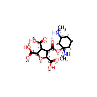 CNC1CCCC(NC)(OC(=O)C2C(C(=O)O)OC(C(=O)O)C2C(=O)O)C1